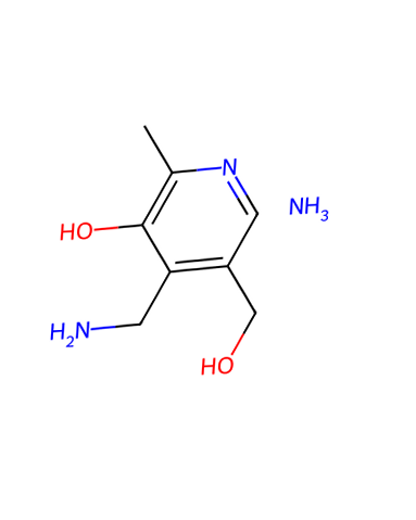 Cc1ncc(CO)c(CN)c1O.N